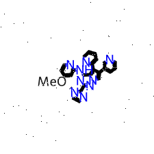 COc1ccnc(Nc2nc(-c3nccn3C)nn3cc(-c4cccnc4)c(-c4ccccn4)c23)c1